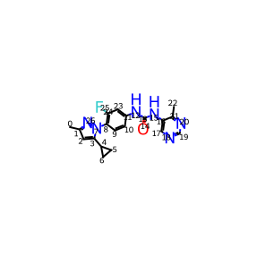 Cc1cc(C2CC2)n(-c2ccc(NC(=O)Nc3cncnc3C)cc2F)n1